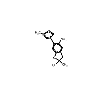 Cn1cc(-c2cc3c(cc2[N+](=O)[O-])CC(C)(C)O3)cn1